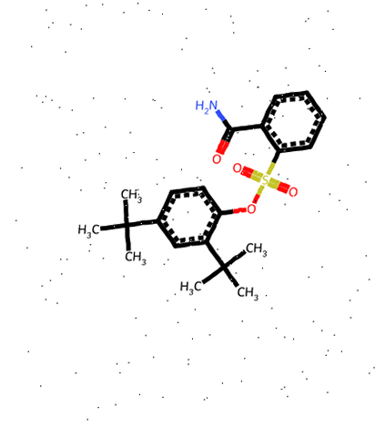 CC(C)(C)c1ccc(OS(=O)(=O)c2ccccc2C(N)=O)c(C(C)(C)C)c1